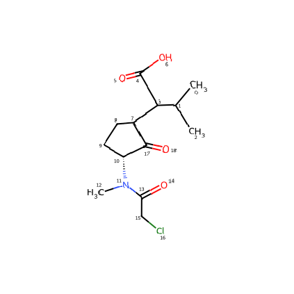 CC(C)C(C(=O)O)C1CC[C@@H](N(C)C(=O)CCl)C1=O